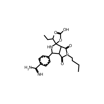 CCCCN1C(=O)C2C(c3ccc(C(=N)N)cc3)NC(OC(=O)O)(C(C)CC)C2C1=O